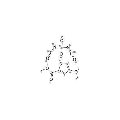 COC(=O)c1cc(OC)cs1.O=C=NS(=O)(=O)N=C=O